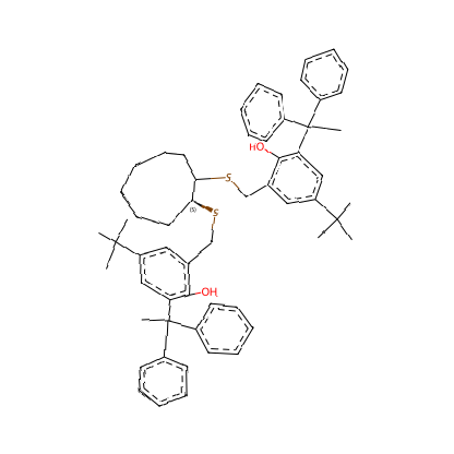 CC(C)(C)c1cc(CSC2CCCCCC[C@@H]2SCc2cc(C(C)(C)C)cc(C(C)(c3ccccc3)c3ccccc3)c2O)c(O)c(C(C)(c2ccccc2)c2ccccc2)c1